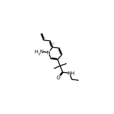 C=C/C=C1/C=CC(C(C)(C)C(=O)NCC)=CN1N